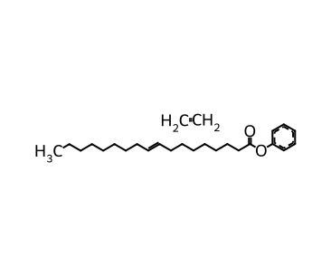 C=C.CCCCCCCCC=CCCCCCCCC(=O)Oc1ccccc1